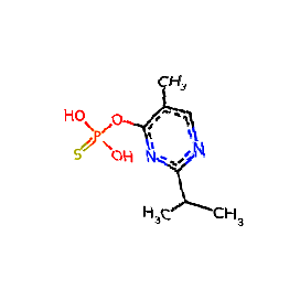 Cc1cnc(C(C)C)nc1OP(O)(O)=S